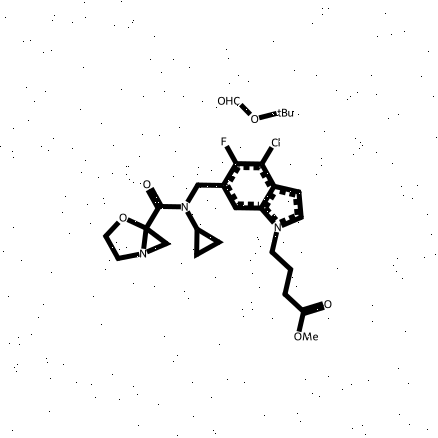 CC(C)(C)OC=O.COC(=O)CCCn1ccc2c(Cl)c(F)c(CN(C(=O)C34CN3CCO4)C3CC3)cc21